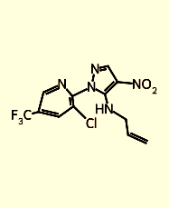 C=CCNc1c([N+](=O)[O-])cnn1-c1ncc(C(F)(F)F)cc1Cl